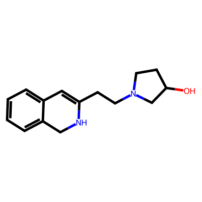 OC1CCN(CCC2=Cc3ccccc3CN2)C1